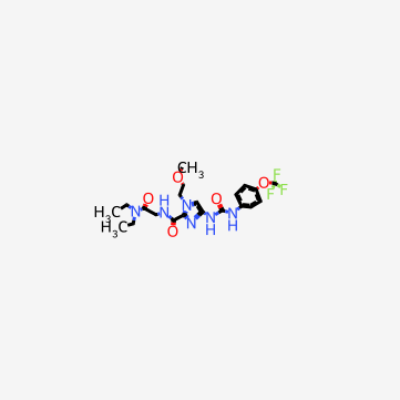 CCN(CC)C(=O)CNC(=O)c1nc(NC(=O)Nc2ccc(OC(F)(F)F)cc2)cn1CCOC